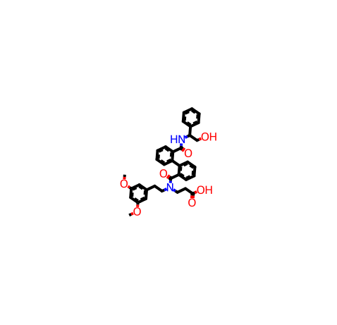 COc1cc(CCN(CCC(=O)O)C(=O)c2ccccc2-c2ccccc2C(=O)NC(CO)c2ccccc2)cc(OC)c1